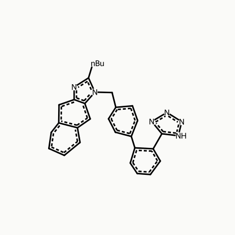 CCCCc1nc2cc3ccccc3cc2n1Cc1ccc(-c2ccccc2-c2nnn[nH]2)cc1